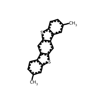 Cc1ccc2c(c1)sc1cc3c(cc12)sc1ccc(C)cc13